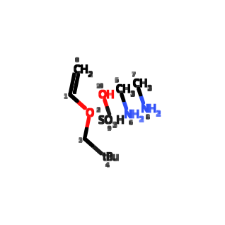 C=COCC(C)(C)C.CN.CN.O=S(=O)(O)O